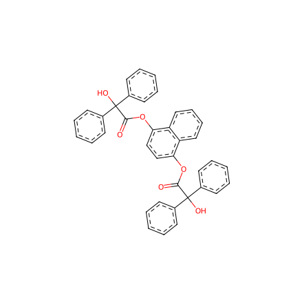 O=C(Oc1ccc(OC(=O)C(O)(c2ccccc2)c2ccccc2)c2ccccc12)C(O)(c1ccccc1)c1ccccc1